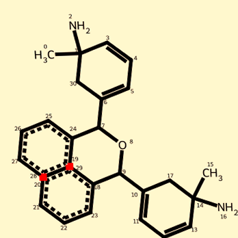 CC1(N)C=CC=C(C(OC(C2=CC=CC(C)(N)C2)c2ccccc2)c2ccccc2)C1